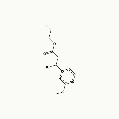 CCCOC(=O)CC(O)c1ccnc(SC)n1